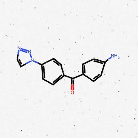 Nc1ccc(C(=O)c2ccc(-n3ccnn3)cc2)cc1